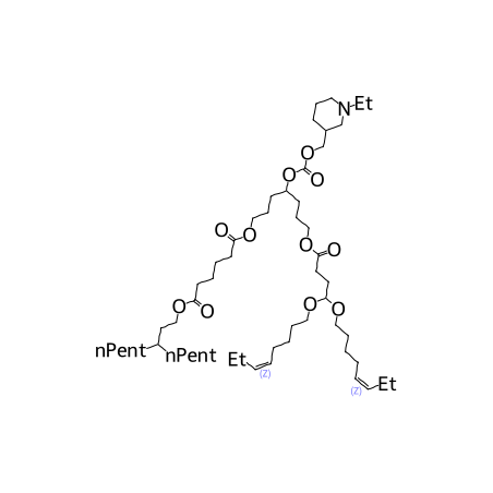 CC/C=C\CCCCOC(CCC(=O)OCCCC(CCCOC(=O)CCCCC(=O)OCCC(CCCCC)CCCCC)OC(=O)OCC1CCCN(CC)C1)OCCCC/C=C\CC